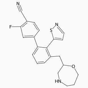 N#Cc1ccc(-c2cccc(CC3CNCCCO3)c2-c2ccns2)cc1F